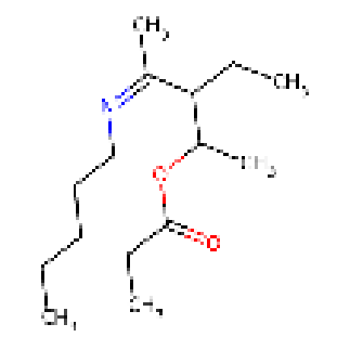 CCCCCN=C(C)C(CC)C(C)OC(=O)CC